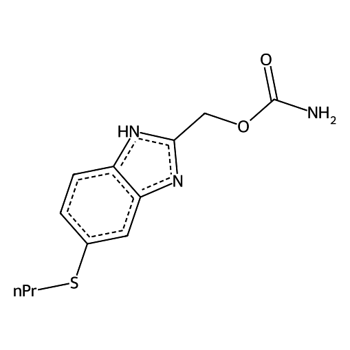 CCCSc1ccc2[nH]c(COC(N)=O)nc2c1